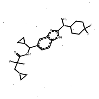 NC(c1nc2cc(C(NC(=O)C(F)(F)CC3CC3)C3CC3)ccc2[nH]1)C1CCC(F)(F)CC1